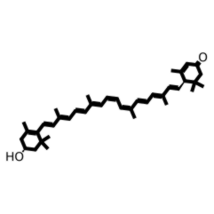 CC1=CC(=O)CC(C)(C)[C@H]1/C=C/C(C)=C/C=C/C(C)=C\C=C/C=C(C)/C=C/C=C(C)/C=C/C1=C(C)C[C@@H](O)CC1(C)C